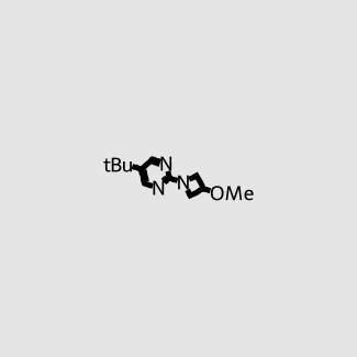 COC1CN(c2ncc(C(C)(C)C)cn2)C1